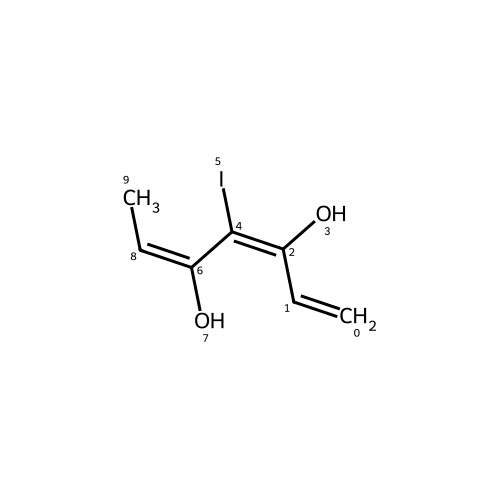 C=C/C(O)=C(I)\C(O)=C/C